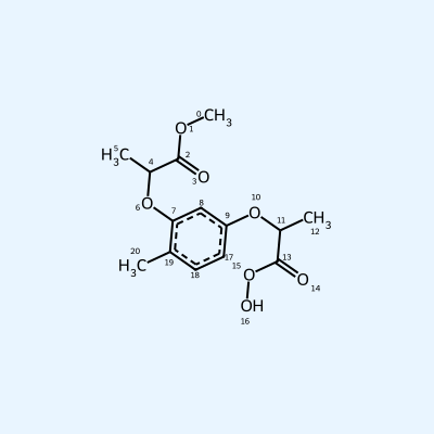 COC(=O)C(C)Oc1cc(OC(C)C(=O)OO)ccc1C